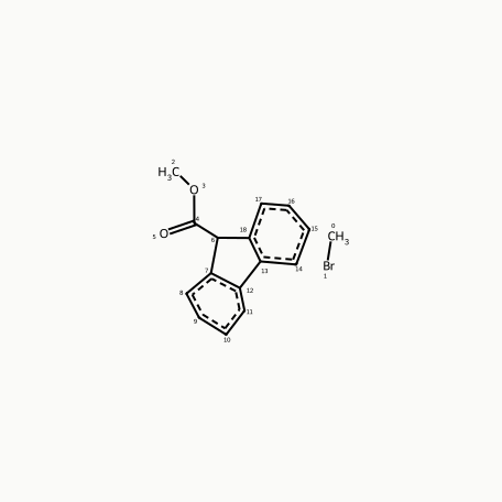 CBr.COC(=O)C1c2ccccc2-c2ccccc21